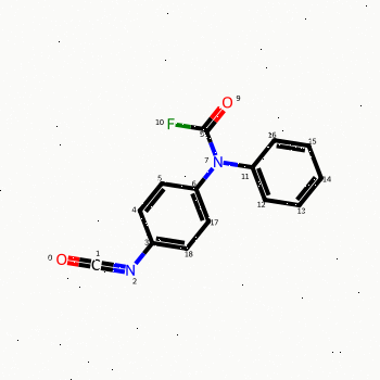 O=C=Nc1ccc(N(C(=O)F)c2ccccc2)cc1